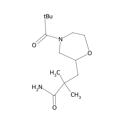 CC(C)(C)C(=O)N1CCOC(CC(C)(C)C(N)=O)C1